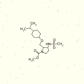 COC(=O)N1CCC(NS(C)(=O)=O)C1COC1CCC(C(C)C)CC1